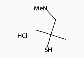 CNCC(C)(C)S.Cl